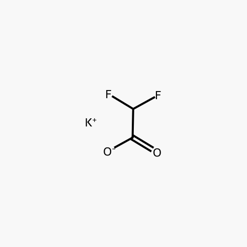 O=C([O-])C(F)F.[K+]